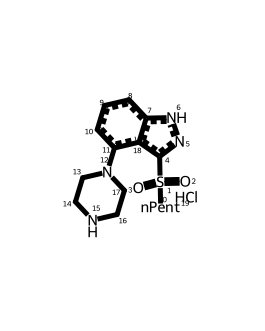 CCCCCS(=O)(=O)c1n[nH]c2cccc(N3CCNCC3)c12.Cl